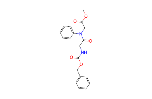 COC(=O)CN(C(=O)CNC(=O)OCc1ccccc1)c1ccccc1